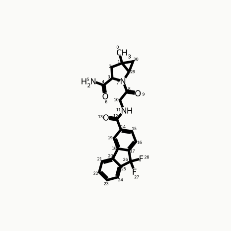 CC12CC(C(N)=O)N(C(=O)CNC(=O)c3ccc4c(c3)-c3ccccc3C4(F)F)C1C2